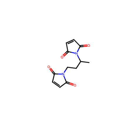 CC(CCN1C(=O)C=CC1=O)N1C(=O)C=CC1=O